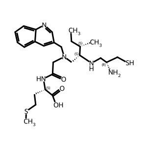 CC[C@H](C)[C@@H](CN(CC(=O)N[C@@H](CCSC)C(=O)O)Cc1cnc2ccccc2c1)NC[C@@H](N)CS